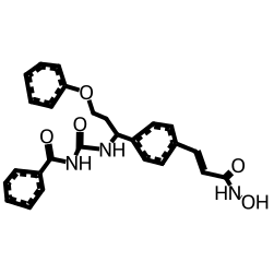 O=C(C=Cc1ccc(C(CCOc2ccccc2)NC(=O)NC(=O)c2ccccc2)cc1)NO